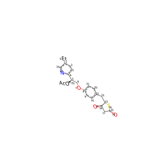 CCc1ccc([C@@H](COc2ccc(CC3SC(=O)CC3=O)cc2)OC(C)=O)nc1